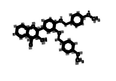 COc1ccc(COc2ccc(-c3oc4ccccc4c(=O)c3O)cc2OCc2ccc(OC)cc2)cc1